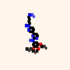 COc1cc(Nc2nccc(-c3ccc(NCCCCN)nc3)n2)cc(OC)c1OC